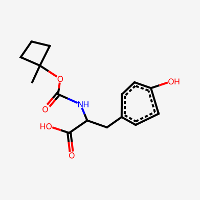 CC1(OC(=O)NC(Cc2ccc(O)cc2)C(=O)O)CCC1